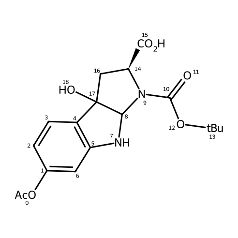 CC(=O)Oc1ccc2c(c1)NC1N(C(=O)OC(C)(C)C)[C@H](C(=O)O)CC21O